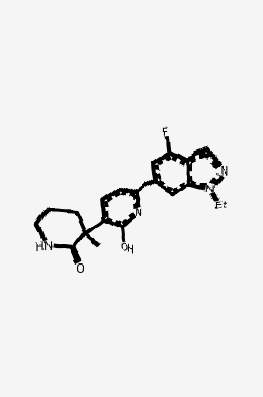 CCn1ncc2c(F)cc(-c3ccc(C4(C)CCCNC4=O)c(O)n3)cc21